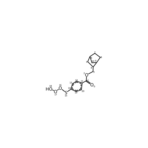 O=C(OCC1CC2CCC1C2)c1ccc(SOOO)cc1